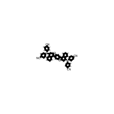 N#Cc1ccc(N(c2ccc(C#N)cc2)c2cc3oc4cc5c(cc4c3c3ccccc23)oc2cc(N(c3ccc(C#N)cc3)c3ccc(C#N)cc3)c3ccccc3c25)cc1